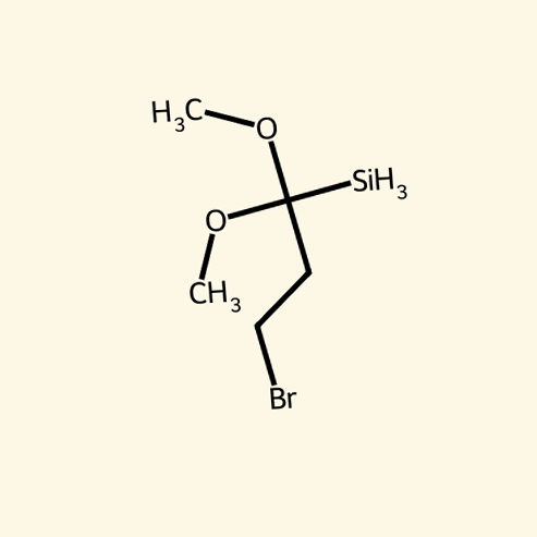 COC([SiH3])(CCBr)OC